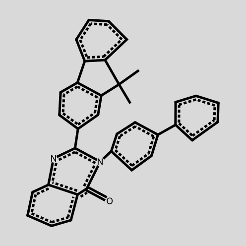 CC1(C)c2ccccc2-c2ccc(-c3nc4ccccc4c(=O)n3-c3ccc(-c4ccccc4)cc3)cc21